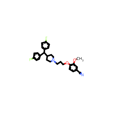 COc1cc(C#N)ccc1OCCCN1CCC(C(c2ccc(F)cc2)c2ccc(F)cc2)CC1